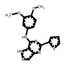 COc1ccc(Nc2nc(-c3cccs3)nc3cn[nH]c23)cc1OC